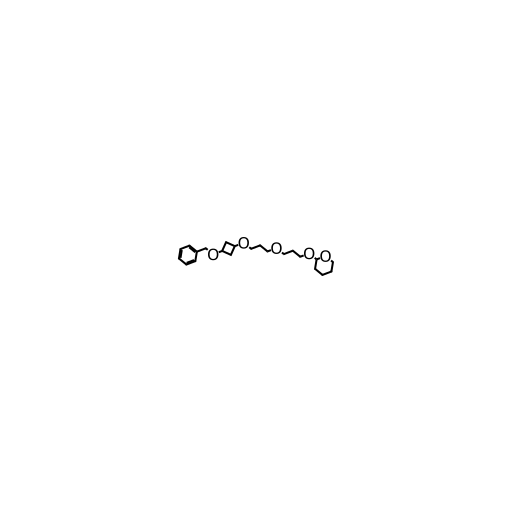 c1ccc(COC2CC(OCCCOCCCOC3CCCCO3)C2)cc1